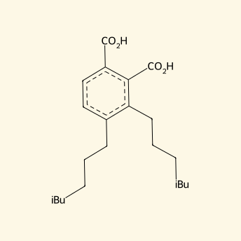 CCC(C)CCCc1ccc(C(=O)O)c(C(=O)O)c1CCCC(C)CC